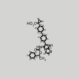 CC(OC(=O)Nc1c(-c2ccc(-c3ccc(C4(C(=O)O)CC4)cc3)cc2)[nH]c2nccn12)c1ccccc1